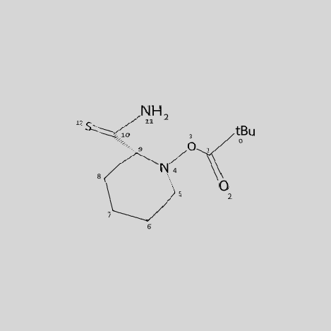 CC(C)(C)C(=O)ON1CCCC[C@@H]1C(N)=S